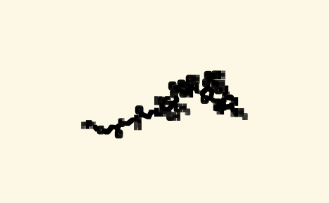 CCCC=C=CCC(=O)SCCNC(=O)CCNC(=O)[C@H](O)C(C)(C)COP(=O)(O)OP(=O)(O)OC[C@H]1O[C@H](n2cnc3c(N)ncnc32)[C@H](O)[C@@H]1OP(=O)(O)O